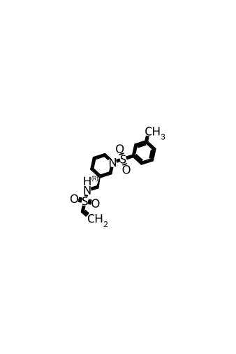 C=CS(=O)(=O)NC[C@H]1CCCN(S(=O)(=O)c2cccc(C)c2)C1